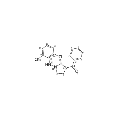 O=C(c1ccccc1)N1CCN(Nc2c(Cl)cccc2Cl)C1